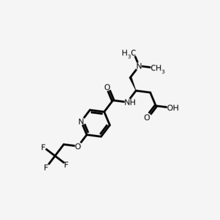 CN(C)C[C@@H](CC(=O)O)NC(=O)c1ccc(OCC(F)(F)F)nc1